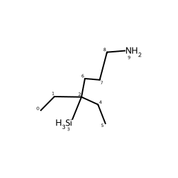 CCC([SiH3])(CC)CCCN